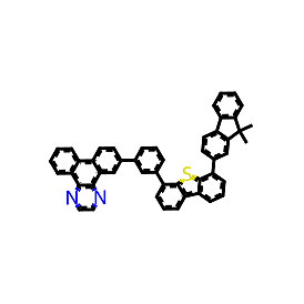 CC1(C)c2ccccc2-c2ccc(-c3cccc4c3sc3c(-c5cccc(-c6ccc7c8ccccc8c8nccnc8c7c6)c5)cccc34)cc21